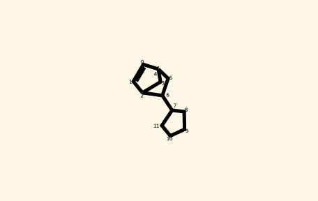 C1=CC2C[C]1CC2C1CCCC1